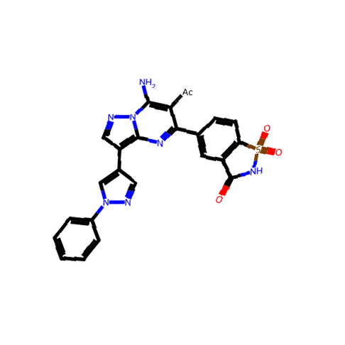 CC(=O)c1c(-c2ccc3c(c2)C(=O)NS3(=O)=O)nc2c(-c3cnn(-c4ccccc4)c3)cnn2c1N